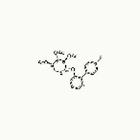 CC(=O)O[C@@H]1[C@@H](OC(C)=O)[C@H](OC(C)=O)CS[C@H]1Oc1cccnc1-c1ccc(F)cc1